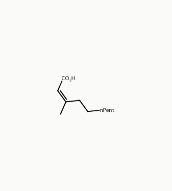 CCCCCCC/C(C)=C\C(=O)O